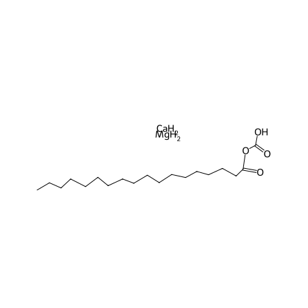 CCCCCCCCCCCCCCCCCC(=O)OC(=O)O.[CaH2].[MgH2]